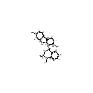 Cc1ccc2c(n1)oc1c(N3C[C@H](C)N(C)c4ncccc43)c(C)ccc12